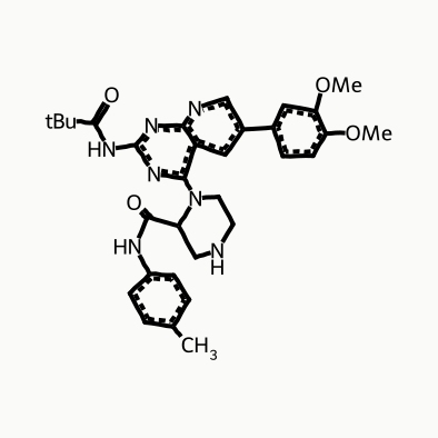 COc1ccc(-c2cnc3nc(NC(=O)C(C)(C)C)nc(N4CCNCC4C(=O)Nc4ccc(C)cc4)c3c2)cc1OC